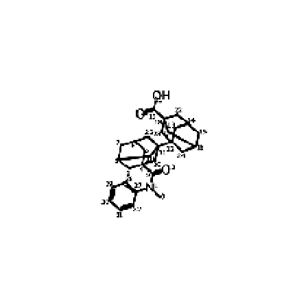 CN(C(=O)C12CC3CC(C1)CC(C14CC5CC(CC(C(=O)O)(C5)C1)C4)(C3)C2)c1ccccc1